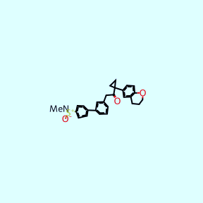 CN[S+]([O-])c1ccc(-c2cccc(CC(=O)C3(c4ccc5c(c4)CCCO5)CC3)c2)cc1